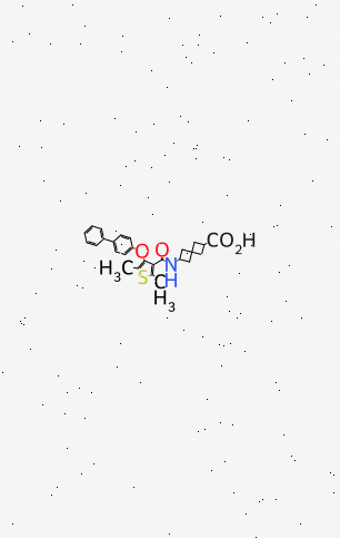 Cc1sc(C)c(C(=O)NC2CC3(C2)CC(C(=O)O)C3)c1Oc1ccc(-c2ccccc2)cc1